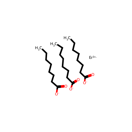 CCCCCCCC(=O)[O-].CCCCCCCC(=O)[O-].CCCCCCCC(=O)[O-].[Er+3]